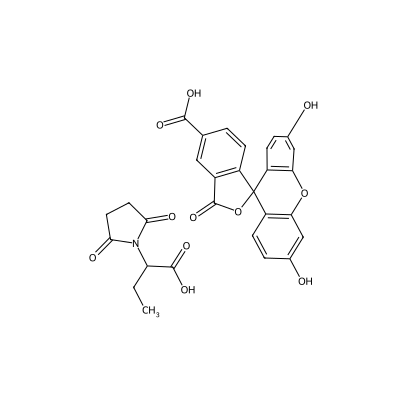 CCC(C(=O)O)N1C(=O)CCC1=O.O=C(O)c1ccc2c(c1)C(=O)OC21c2ccc(O)cc2Oc2cc(O)ccc21